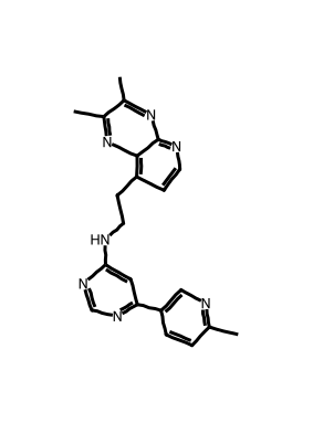 Cc1ccc(-c2cc(NCCc3ccnc4nc(C)c(C)nc34)ncn2)cn1